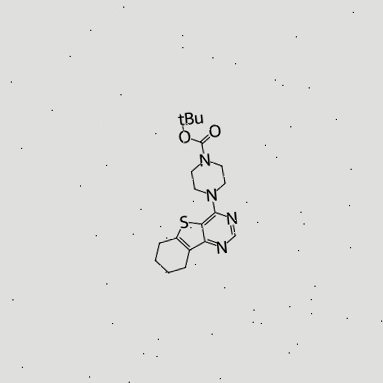 CC(C)(C)OC(=O)N1CCN(c2ncnc3c4c(sc23)CCCC4)CC1